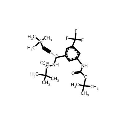 CC(C)(C)OC(=O)Nc1cc([C@@H](C#C[Si](C)(C)C)N[S@@+]([O-])C(C)(C)C)cc(C(F)(F)F)c1